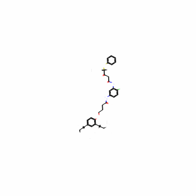 CCC(C)(C)c1ccc(OCCCC(=O)Nc2ccc(Cl)c(NC(=O)CC(=O)C(C)(C)Sc3ccccc3)c2)c(C(C)(C)CC)c1